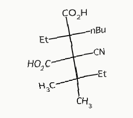 CCCCC(CC)(C(=O)O)C(C#N)(C(=O)O)C(C)(C)CC